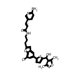 Cc1noc(C)c1C(O)c1ccc(-c2cc(Cl)c3oc(CCCNC(=O)/C=C/c4ccc(N)nc4)cc3c2)s1